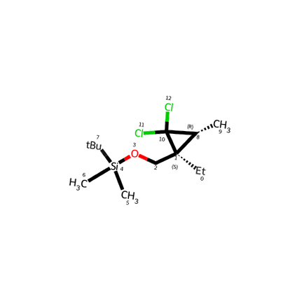 CC[C@@]1(CO[Si](C)(C)C(C)(C)C)[C@@H](C)C1(Cl)Cl